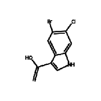 C=C(O)c1c[nH]c2cc(Cl)c(Br)cc12